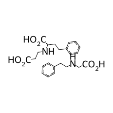 O=C(O)CCN[C@H](CCc1ccccc1)C(=O)O.O=C(O)CNCCc1ccccc1